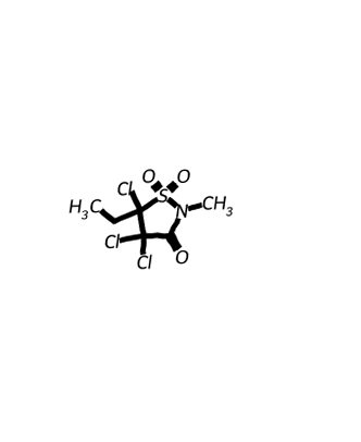 CCC1(Cl)C(Cl)(Cl)C(=O)N(C)S1(=O)=O